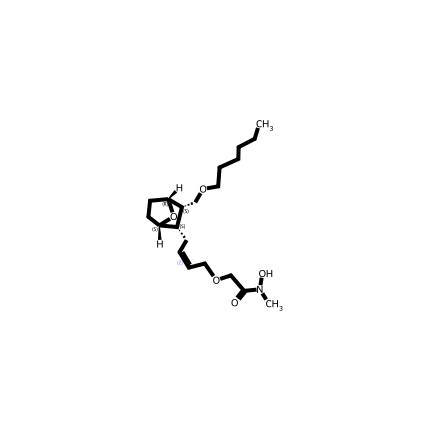 CCCCCCOC[C@@H]1[C@H](C/C=C\COCC(=O)N(C)O)[C@@H]2CC[C@H]1O2